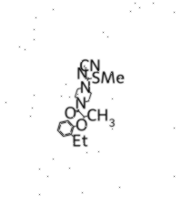 CCc1ccccc1OC(C)C(=O)N1CCN(C(=NC#N)SC)CC1